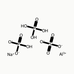 O=P(O)(O)O.O=P([O-])([O-])O.O=S(=O)([O-])[O-].[Al+3].[Na+]